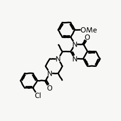 COc1ccccc1-n1c(C(C)N2CCN(C(=O)c3ccccc3Cl)C(C)C2)nc2ccccc2c1=O